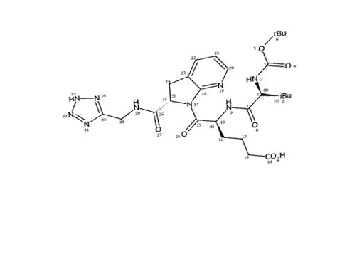 CC[C@H](C)[C@H](NC(=O)OC(C)(C)C)C(=O)N[C@@H](CCCC(=O)O)C(=O)N1c2ncccc2C[C@H]1C(=O)NCc1nn[nH]n1